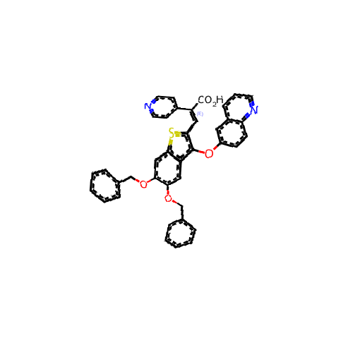 O=C(O)/C(=C/c1sc2cc(OCc3ccccc3)c(OCc3ccccc3)cc2c1Oc1ccc2ncccc2c1)c1ccncc1